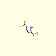 N=C(/C=C\NC(F)F)C(=O)O